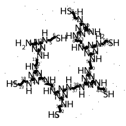 Nc1nc(NCCS)nc(NCCNc2nc(NCCS)nc(NCCNc3nc(NCCS)nc(NCCNc4nc(NCCS)nc(NCCNc5nc(NCCS)nc(NCCNc6nc(N)nc(NCCS)n6)n5)n4)n3)n2)n1